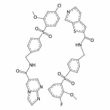 COc1c(F)cccc1S(=O)(=O)c1ccc(CNC(=O)c2cc3ccncc3s2)cc1.COc1cc(Cl)ccc1S(=O)(=O)c1ccc(CNC(=O)c2cnc3nccn3c2)cc1